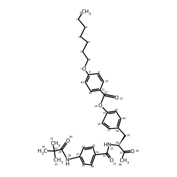 CCCCCCCOc1ccc(C(=O)Oc2ccc(C[C@H](NC(=O)c3ccc(NC(=O)C(C)(C)C)cc3)C(C)=O)cc2)cc1